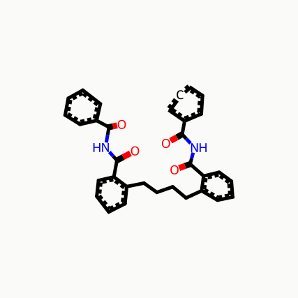 O=C(NC(=O)c1ccccc1CCCCc1ccccc1C(=O)NC(=O)c1ccccc1)c1ccccc1